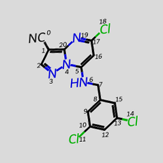 N#Cc1cnn2c(NCc3cc(Cl)cc(Cl)c3)cc(Cl)nc12